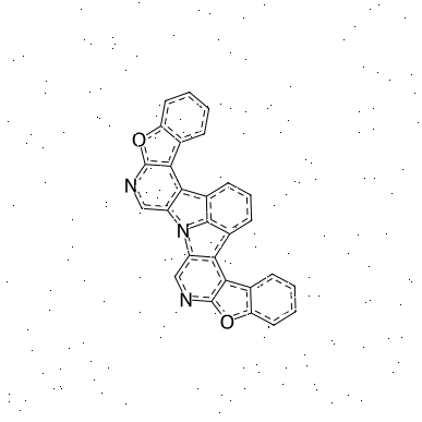 c1ccc2c(c1)oc1ncc3c(c4cccc5c6c7c(ncc6n3c45)oc3ccccc37)c12